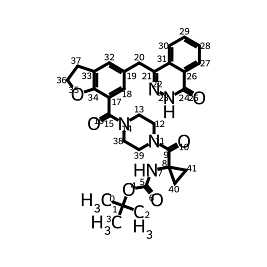 CC(C)(C)OC(=O)NC1(C(=O)N2CCN(C(=O)c3cc(Cc4n[nH]c(=O)c5ccccc45)cc4c3OCC4)CC2)CC1